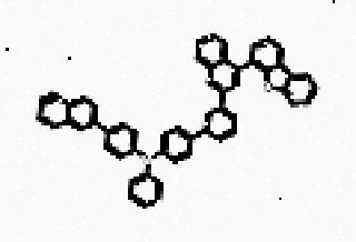 c1ccc2cc(-c3ccc(N(c4ccccc4)c4ccc(-c5cccc(-c6cc(-c7cccc8c7oc7ccccc78)c7ccccc7c6)c5)cc4)cc3)ccc2c#1